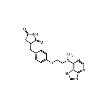 CN(CCOc1ccc(CC2SC(=O)NC2=O)cc1)c1ncnc2nc[nH]c12